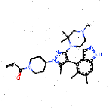 C=CC(=O)N1CCC(n2nc(N3CCN(C(C)=O)CC3(C)C)c(-c3c(C)c(C)cc4[nH]ncc34)c2C)CC1